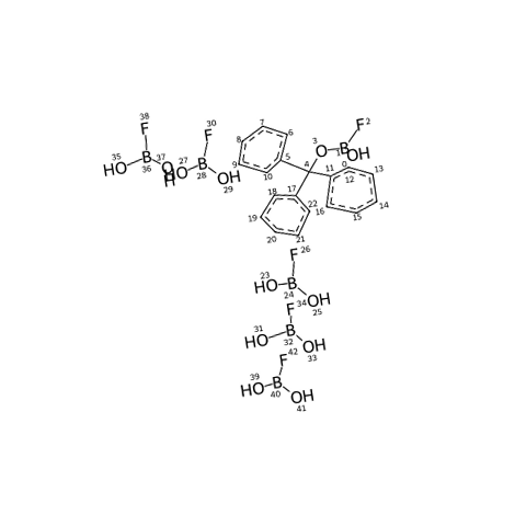 OB(F)OC(c1ccccc1)(c1ccccc1)c1ccccc1.OB(O)F.OB(O)F.OB(O)F.OB(O)F.OB(O)F